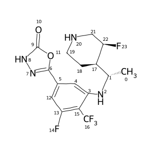 C[C@H](Nc1cc(-c2n[nH]c(=O)o2)cc(F)c1C(F)(F)F)[C@H]1CCNC[C@H]1F